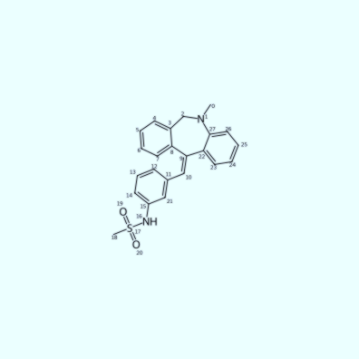 CN1Cc2ccccc2C(=Cc2cccc(NS(C)(=O)=O)c2)c2ccccc21